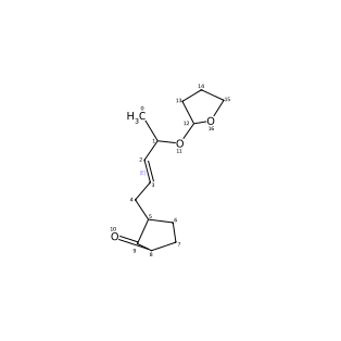 CC(/C=C/CC1CCCC1=O)OC1CCCO1